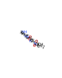 CC1(C)CC(=O)N(CCc2ccc(OC(=O)N3CCN(CCc4ccc[nH]4)CC3)nc2)C(=O)C1